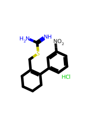 Cl.N=C(N)SCC1=C(c2cccc([N+](=O)[O-])c2)CCCC1